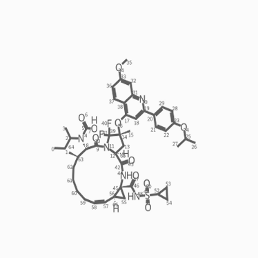 CCC(C)N(C(=O)O)[C@@H]1C(=O)N2[C@@H](C[C@@](C)(Oc3cc(-c4ccc(OC(C)C)cc4)nc4cc(OC)ccc34)C2(F)F)C(=O)N[C@]2(C(=O)NS(=O)(=O)C3CC3)C[C@H]2/C=C\CCCC[C@H]1C